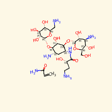 C=CC(N)=O.NCC[C@H](O)C(=O)N[C@@H]1C[C@H](N)[C@@H](O[C@H]2O[C@H](CN)[C@@H](O)[C@H](O)[C@H]2O)[C@H](O)[C@H]1O[C@H]1O[C@H](CO)[C@@H](O)[C@H](N)[C@H]1O